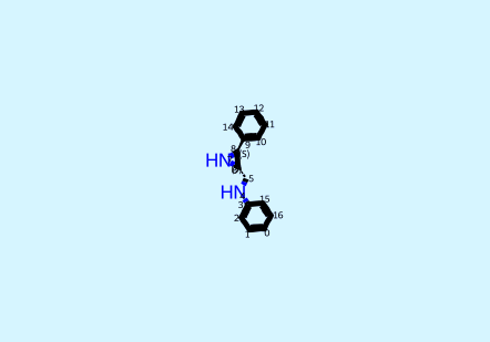 c1ccc(NC[C@@H]2N[C@H]2c2ccccc2)cc1